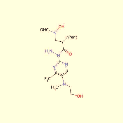 CCCCCC(CN(O)C=O)C(=O)N(N)c1ncc(N(C)CCO)c(C(F)(F)F)n1